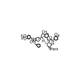 CCCC(C)N1CCC(N(Cc2cccc(C(C)CC(C)N3CCC(N(Cc4ccccc4)C(=O)Nc4ccc5c(c4)OC(F)(F)O5)CC3)c2)C(=O)Nc2ccc(F)c(Cl)c2)CC1